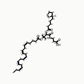 CC/C=C\C/C=C\C/C=C\C/C=C\C/C=C\CCCC(=O)OC(C)(C)C(OC(=O)CCCC[C@]1(C)CCSS1)C(=O)NCCC(=O)O